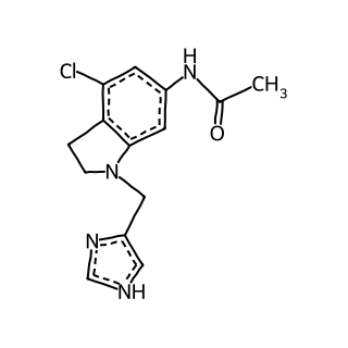 CC(=O)Nc1cc(Cl)c2c(c1)N(Cc1c[nH]cn1)CC2